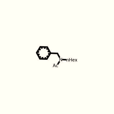 CCCCCCN(Cc1ccccc1)C(C)=O